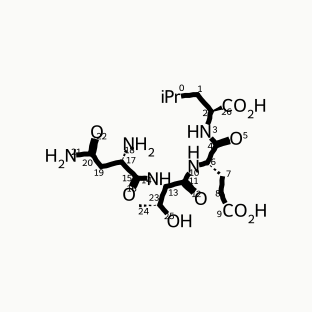 CC(C)C[C@H](NC(=O)[C@H](CCC(=O)O)NC(=O)[C@@H](NC(=O)[C@@H](N)CC(N)=O)[C@@H](C)O)C(=O)O